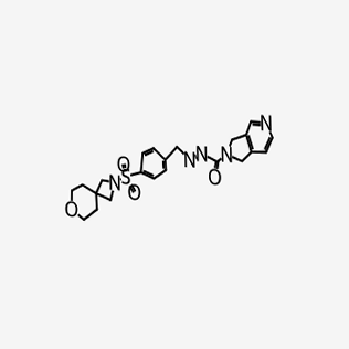 O=C(N=NCc1ccc(S(=O)(=O)N2CC3(CCOCC3)C2)cc1)N1Cc2ccncc2C1